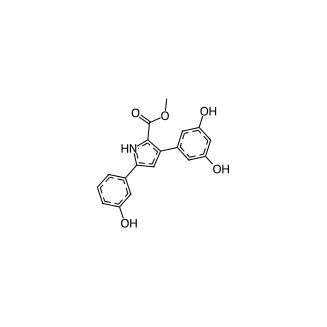 COC(=O)c1[nH]c(-c2cccc(O)c2)cc1-c1cc(O)cc(O)c1